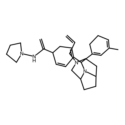 C=CCN1CCC2CCC(C1)N2C(C1=CCC(C(=C)NN2CCCC2)C=C1)C1=CC(C)=CCC1